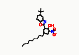 CCCCCCCCCc1cc(-c2nc3cc(C(C)(C)C)ccc3o2)c(O)c([N+](=O)[O-])c1